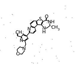 C=Cc1cc(-c2ccc3c(ccc4sc5c(c43)NC[C@@H](C)NC5=O)n2)cc(CN2CCOCC2)n1